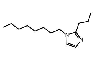 CCCCCCCCn1ccnc1CCC